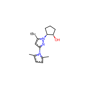 Cc1ccc(C)n1-c1cc(C(C)(C)C)n([C@H]2CCC[C@H]2O)n1